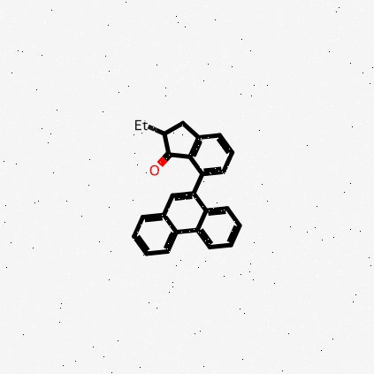 CCC1Cc2cccc(-c3cc4ccccc4c4ccccc34)c2C1=O